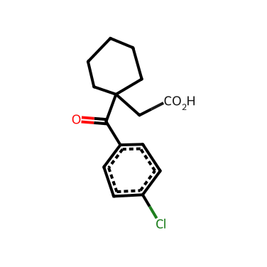 O=C(O)CC1(C(=O)c2ccc(Cl)cc2)CCCCC1